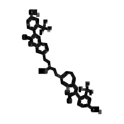 Cc1ccc(-c2cc3c(oc2=O)=CC(CCC(O)CCc2ccc4cc(-c5ccc(C)cc5C(F)(F)F)c(=O)oc4c2)=CCC=3)c(C(F)(F)F)c1